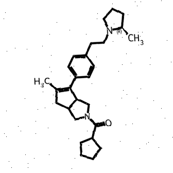 CC1=C(c2ccc(CCN3CCC[C@H]3C)cc2)C2CN(C(=O)C3CCCC3)CC2C1